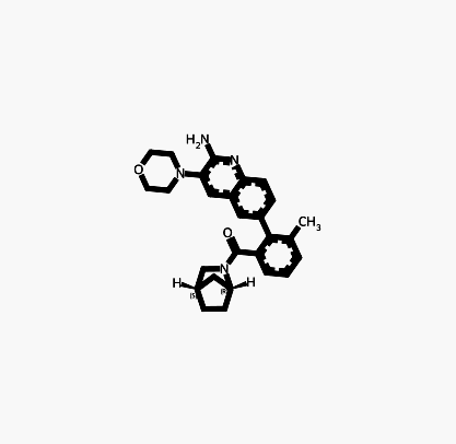 Cc1cccc(C(=O)N2C[C@H]3CC[C@@H]2C3)c1-c1ccc2nc(N)c(N3CCOCC3)cc2c1